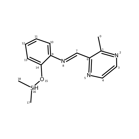 Cc1nccnc1C=Nc1ccccc1O[SiH](C)C